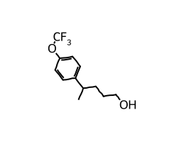 CC(CCCO)c1ccc(OC(F)(F)F)cc1